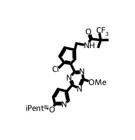 CCC[C@@H](C)Oc1ccc(-c2nc(OC)nc(-c3cc(CNC(=O)C(C)(C)C(F)(F)F)ccc3Cl)n2)cn1